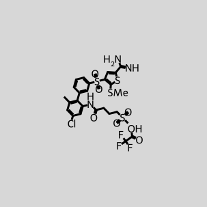 CSc1sc(C(=N)N)cc1S(=O)(=O)c1cccc(-c2c(C)cc(Cl)cc2NC(=O)CCCS(C)(=O)=O)c1.O=C(O)C(F)(F)F